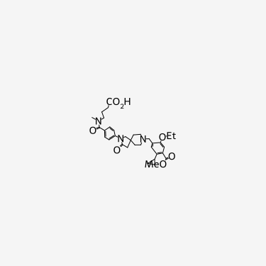 CCOc1cc(C(=O)OC)c(C2CC2)cc1CN1CCC2(CC1)CC(=O)N(c1ccc(C(=O)N(C)CCCC(=O)O)cc1)C2